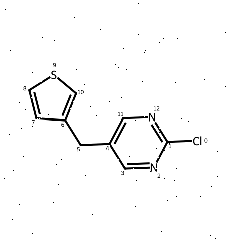 Clc1ncc(Cc2ccsc2)cn1